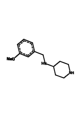 COc1cccc(CNC2CCNCC2)c1